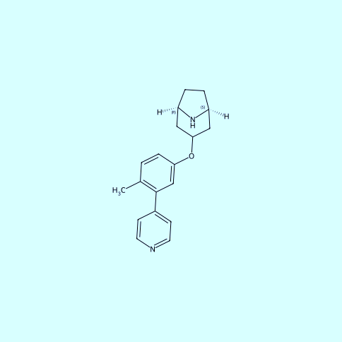 Cc1ccc(OC2C[C@H]3CC[C@@H](C2)N3)cc1-c1ccncc1